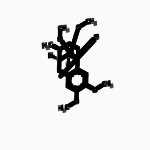 COC1=C(OC)[C@@H]2[C@H]3Cc4cc(OC)c(OC)cc4[C@@]2(CCN3C)CC1=O